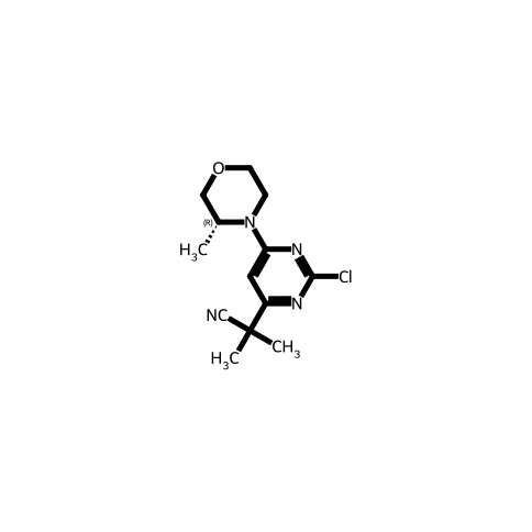 C[C@@H]1COCCN1c1cc(C(C)(C)C#N)nc(Cl)n1